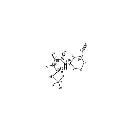 C#C[C@@H]1CCC[C@H](NC(=O)[C@H](C)N(C)C(=O)OC(C)(C)C)C1